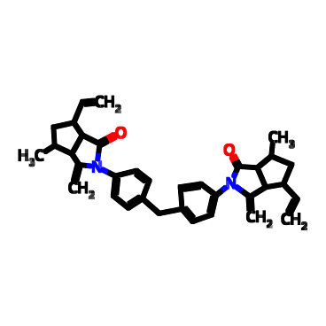 C=CC1CC(C)C2C(=O)N(c3ccc(Cc4ccc(N5C(=C)C6C(C)CC(C=C)C6C5=O)cc4)cc3)C(=C)C12